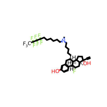 C#C[C@]1(O)CC[C@H]2[C@@H]3[C@H](CCCCCN(C)CCCCCCC(F)(F)C(F)(F)C(F)(F)C(F)(F)F)Cc4cc(O)ccc4[C@H]3[C@@H](F)C[C@@]21C